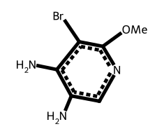 COc1ncc(N)c(N)c1Br